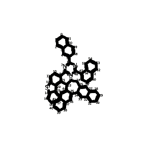 c1ccc2cc(-c3nc(-c4ccc5sc6ccccc6c5c4C4CCc5cc6ccccc6cc5-c5cc6ccccc6cc54)nc(-c4cccc5ccccc45)n3)ccc2c1